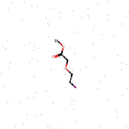 CCOC(=O)COCCI